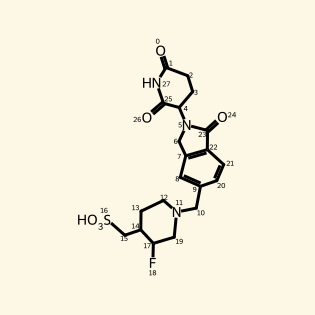 O=C1CCC(N2Cc3cc(CN4CCC(CS(=O)(=O)O)C(F)C4)ccc3C2=O)C(=O)N1